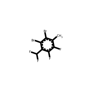 Cc1c(F)c(F)c(C(F)F)c(Br)c1Br